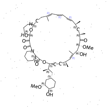 CO[C@@H]1C[C@H](C[C@@H](C)[C@@H]2CC[C@H](C)/C=C(\C)[C@@H](O)[C@@H](OC)C(=O)[C@H](C)C[C@H](C)/C=C/C=C/C=C(\C)CC[C@@H]3CC[C@@H](C)[C@@](O)(O3)C(=O)C(=O)N3CCCC[C@H]3C(=O)O2)CC[C@H]1O